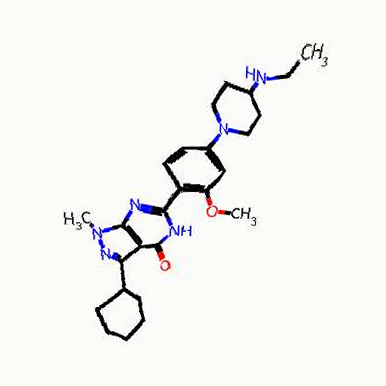 CCNC1CCN(c2ccc(-c3nc4c(c(C5CCCCC5)nn4C)c(=O)[nH]3)c(OC)c2)CC1